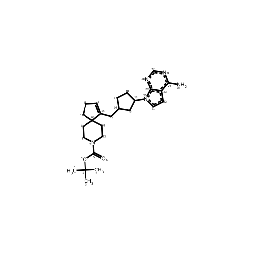 CC(C)(C)OC(=O)N1CCC2(CCC=C2CC2CCC(n3ccc4c(N)ncnc43)C2)CC1